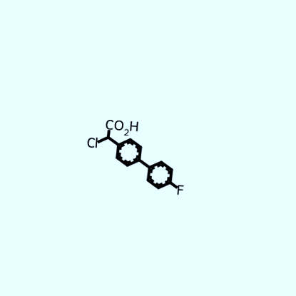 O=C(O)C(Cl)c1ccc(-c2ccc(F)cc2)cc1